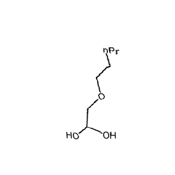 CCCCCOCC(O)O